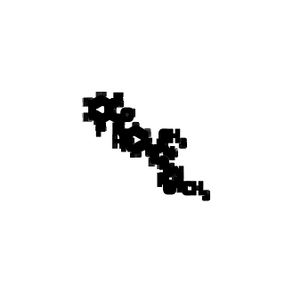 Cc1nc(-c2cc(-c3ccc(NC(=O)c4c(F)cccc4F)nc3)n(C)n2)no1